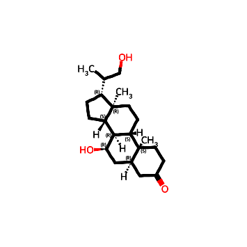 CC(CO)[C@H]1CC[C@H]2[C@@H]3[C@H](O)C[C@@H]4CC(=O)CC[C@]4(C)[C@H]3CC[C@]12C